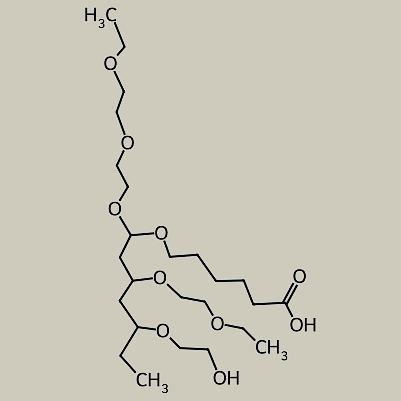 CCOCCOCCOC(CC(CC(CC)OCCO)OCCOCC)OCCCCCC(=O)O